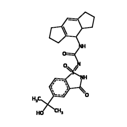 CC(C)(O)c1ccc2c(c1)C(=O)NS2(=O)=NC(=O)NC1C2=C(C=C3CCCC31)CCC2